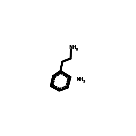 N.NCCc1ccccc1